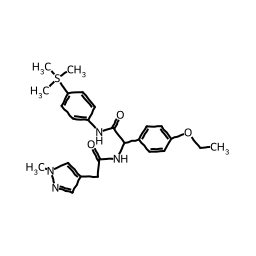 CCOc1ccc(C(NC(=O)Cc2cnn(C)c2)C(=O)Nc2ccc(S(C)(C)C)cc2)cc1